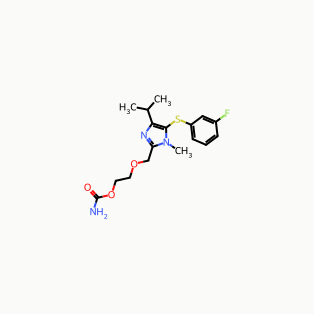 CC(C)c1nc(COCCOC(N)=O)n(C)c1Sc1cccc(F)c1